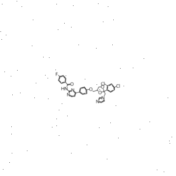 O=C(Nc1nccc(-c2ccc(OCC3COC(Cn4ccnc4)(c4ccc(Cl)cc4Cl)O3)cc2)n1)c1ccc(F)cc1